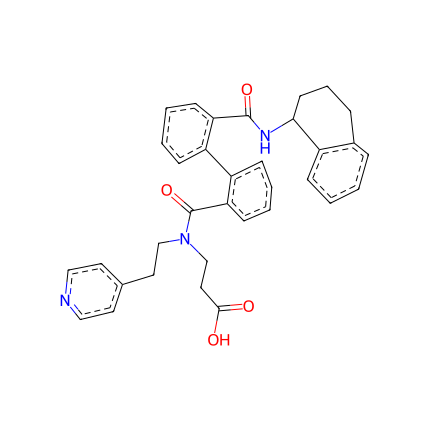 O=C(O)CCN(CCc1ccncc1)C(=O)c1ccccc1-c1ccccc1C(=O)NC1CCCc2ccccc21